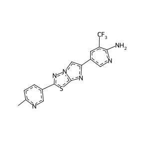 Cc1ccc(-c2nn3cc(-c4cnc(N)c(C(F)(F)F)c4)nc3s2)cn1